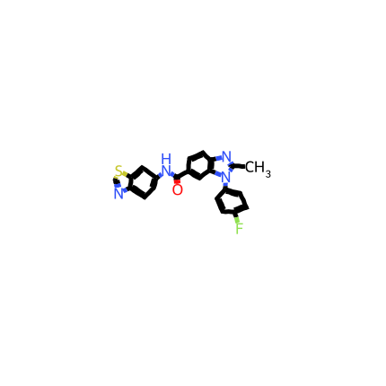 Cc1nc2ccc(C(=O)Nc3ccc4ncsc4c3)cc2n1-c1ccc(F)cc1